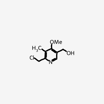 COc1c(CO)cnc(CCl)c1C